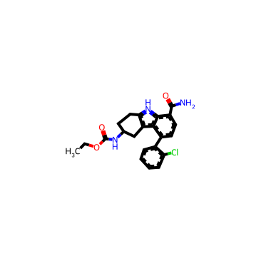 CCOC(=O)NC1CCc2[nH]c3c(C(N)=O)ccc(-c4ccccc4Cl)c3c2C1